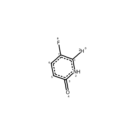 [2H]c1[nH]c(=O)ccc1F